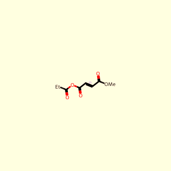 CCC(=O)OC(=O)/C=C/C(=O)OC